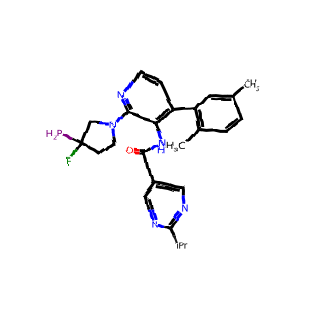 Cc1ccc(C)c(-c2ccnc(N3CCC(F)(P)C3)c2NC(=O)c2cnc(C(C)C)nc2)c1